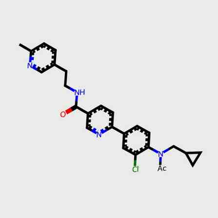 CC(=O)N(CC1CC1)c1ccc(-c2ccc(C(=O)NCCc3ccc(C)nc3)cn2)cc1Cl